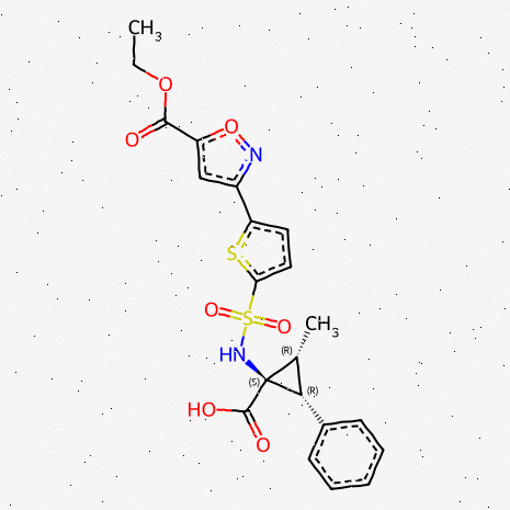 CCOC(=O)c1cc(-c2ccc(S(=O)(=O)N[C@@]3(C(=O)O)[C@H](C)[C@@H]3c3ccccc3)s2)no1